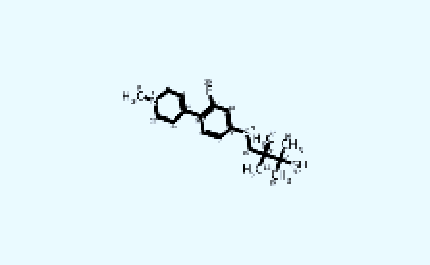 CN1CC=C(c2ccc(SCC(C)(C)C(C)(C)S)cc2F)CC1